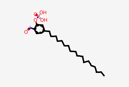 CCCCCCCCCCCCCCCCCCc1ccc(I=O)c(OP(=O)(O)O)c1